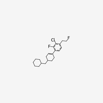 FCCc1ccc(C2=CCC(CC3CCCCC3)CC2)c(F)c1Cl